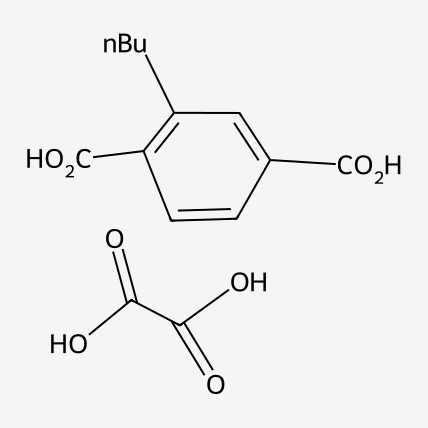 CCCCc1cc(C(=O)O)ccc1C(=O)O.O=C(O)C(=O)O